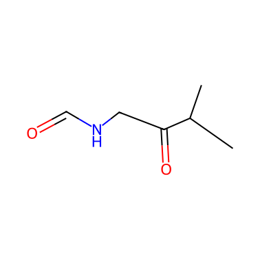 CC(C)C(=O)CNC=O